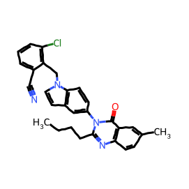 CCCCc1nc2ccc(C)cc2c(=O)n1-c1ccc2c(ccn2Cc2c(Cl)cccc2C#N)c1